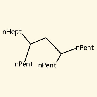 CCCCCCCC(CCCCC)CC(CCCCC)CCCCC